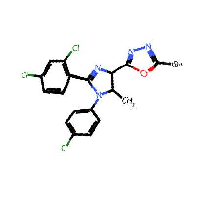 CC1C(c2nnc(C(C)(C)C)o2)N=C(c2ccc(Cl)cc2Cl)N1c1ccc(Cl)cc1